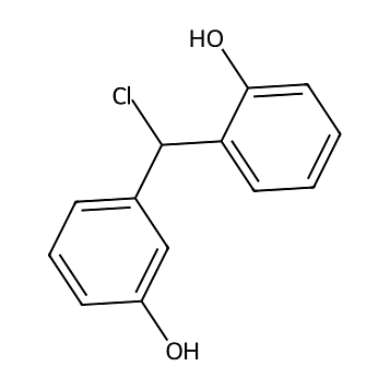 Oc1cccc(C(Cl)c2ccccc2O)c1